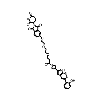 O=C1CCC(N2C(=O)c3ccc(OCCOCCOCCC(=O)N4CC(c5cc6cc(-c7ccccc7O)nnc6[nH]5)C4)cc3C2=O)C(=O)N1